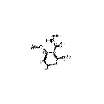 CCCCPC(=O)c1c(OC)cc(C)cc1OC